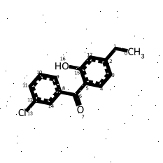 CCc1ccc(C(=O)c2cccc(Cl)c2)c(O)c1